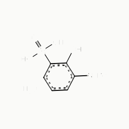 CC(=O)Nc1cccc([As](=O)(O)O)c1O.O